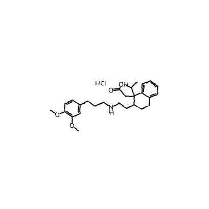 COc1ccc(CCCNCCC2CCc3ccccc3C2(CC(=O)O)C(C)C)cc1OC.Cl